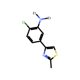 CCN(CC)c1cc(-c2csc(C)n2)ccc1Cl